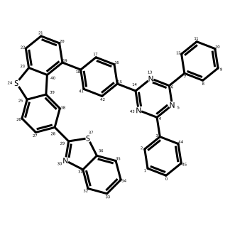 c1ccc(-c2nc(-c3ccccc3)nc(-c3ccc(-c4cccc5sc6ccc(-c7nc8ccccc8s7)cc6c45)cc3)n2)cc1